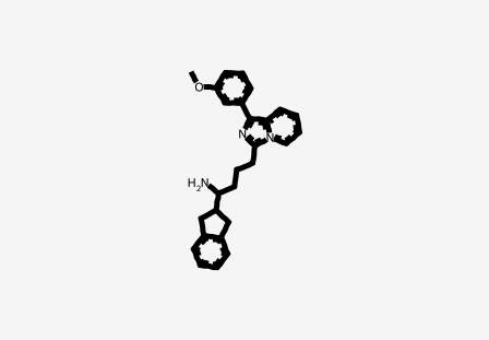 COc1cccc(-c2nc(CCCC(N)C3Cc4ccccc4C3)n3ccccc23)c1